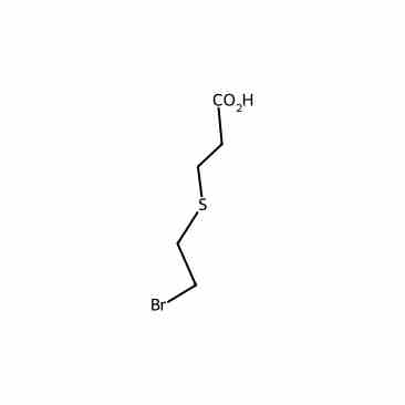 O=C(O)CCSCCBr